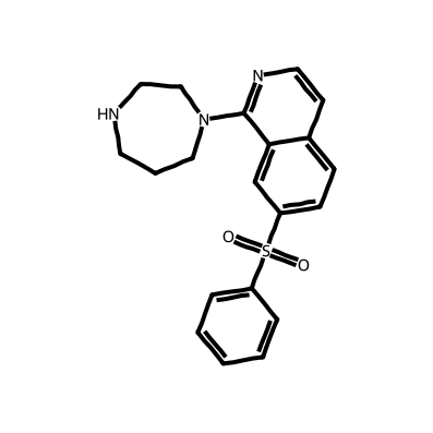 O=S(=O)(c1ccccc1)c1ccc2ccnc(N3CCCNCC3)c2c1